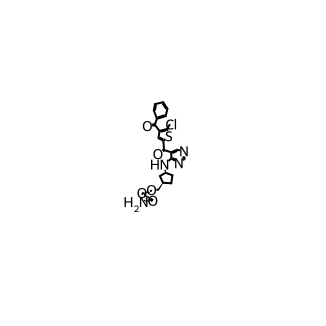 NS(=O)(=O)OC[C@@H]1CC[C@H](Nc2ncncc2C(=O)c2cc(C(=O)c3ccccc3)c(Cl)s2)C1